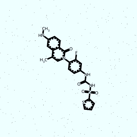 CNc1ccc2c(=O)n(-c3ccc(NC(=O)NS(=O)(=O)c4cccs4)cc3F)cc(C)c2c1